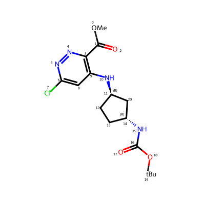 COC(=O)c1nnc(Cl)cc1N[C@@H]1CC[C@@H](NC(=O)OC(C)(C)C)C1